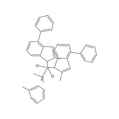 CC1=Cc2c(-c3ccccc3)cccc2[CH]1[Zr]([Cl])([Cl])([CH]1C(C)=Cc2c(-c3ccccc3)cccc21)[SiH](C)C.Cc1ccccc1